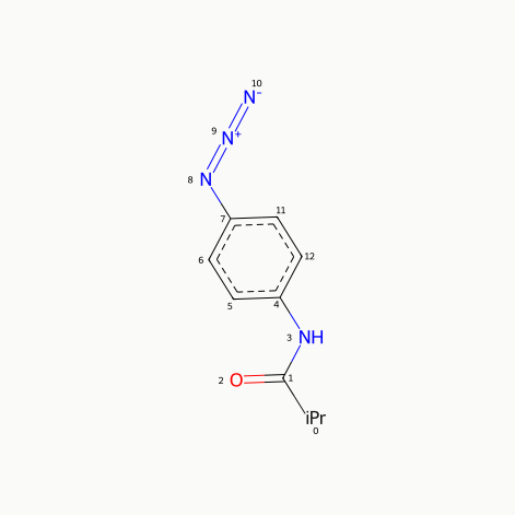 CC(C)C(=O)Nc1ccc(N=[N+]=[N-])cc1